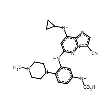 CN1CCN(c2ccc(NC(=O)O)cc2Nc2cc(NC3CC3)c3ncc(C#N)n3n2)CC1